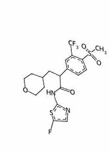 CS(=O)(=O)c1ccc(C(CC2CCOCC2)C(=O)Nc2ncc(F)s2)cc1C(F)(F)F